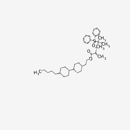 C=C(CO[Si](c1ccccc1)(c1ccccc1)C(C)(C)C)C(=O)OCCC1CCC(C2CCC(CCCCC)CC2)CC1